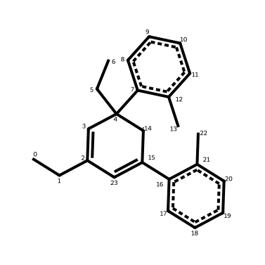 CCC1=CC(CC)(c2ccccc2C)[CH]C(c2ccccc2C)=C1